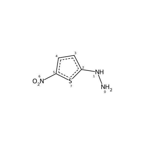 NNc1ccc([N+](=O)[O-])s1